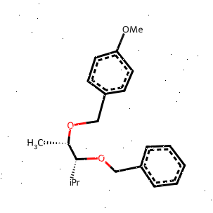 COc1ccc(CO[C@@H](C)[C@H](OCc2ccccc2)C(C)C)cc1